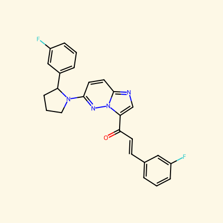 O=C(C=Cc1cccc(F)c1)c1cnc2ccc(N3CCCC3c3cccc(F)c3)nn12